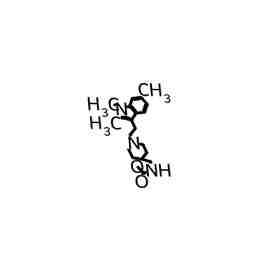 Cc1ccc2c(CCN3CCC4(CC3)CNC(=O)O4)c(C)n(C)c2c1